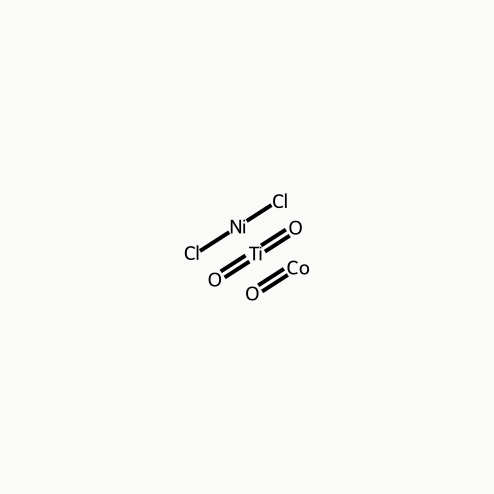 [Cl][Ni][Cl].[O]=[Co].[O]=[Ti]=[O]